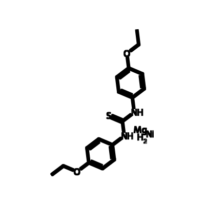 CCOc1ccc(NC(=S)Nc2ccc(OCC)cc2)cc1.[MgH2].[Ni]